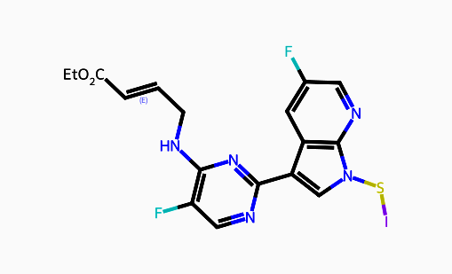 CCOC(=O)/C=C/CNc1nc(-c2cn(SI)c3ncc(F)cc23)ncc1F